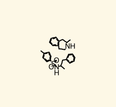 CC1Cc2ccccc2CCN1.Cc1ccc(S(=O)(=O)NC(C)Cc2ccccc2)cc1